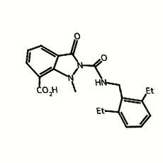 CCc1cccc(CC)c1CNC(=O)n1c(=O)c2cccc(C(=O)O)c2n1C